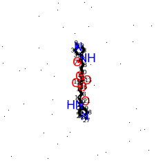 CN1CCC(NC(=O)CCCOC(=O)C(=O)OCCCC(=O)NC2CCN(C)CC2)CC1